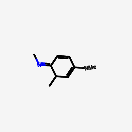 CN=C1C=CC(NC)=CC1C